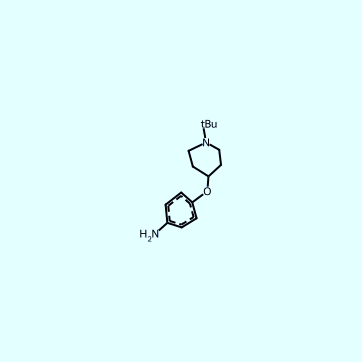 CC(C)(C)N1CCC(Oc2ccc(N)cc2)CC1